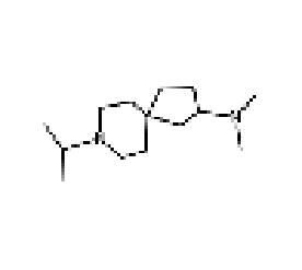 CC(C)N1CCC2(CCC(N(C)C)C2)CC1